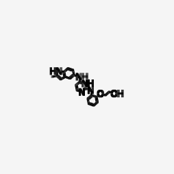 Cc1cc2cc(Nc3ccnc(Nc4ccccc4OCCO)n3)ccc2[nH]1